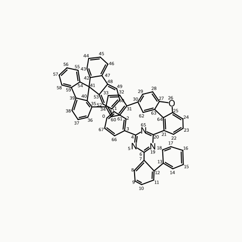 c1ccc(-c2nc(-c3ccccc3-c3ccccc3)nc(-c3cccc4oc5ccc(-c6ccc(-c7cccc8c7C7(c9ccccc9-c9ccccc97)c7ccccc7-8)cc6)cc5c34)n2)cc1